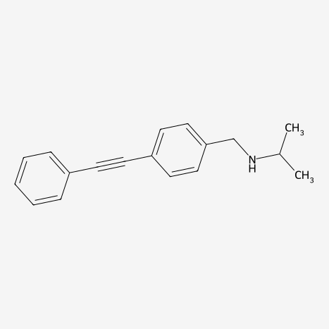 CC(C)NCc1ccc(C#Cc2ccccc2)cc1